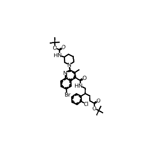 Cc1c(N2CCCC(NC(=O)OC(C)(C)C)C2)nc2ccc(Br)cc2c1C(=O)NCC(CCC(=O)OC(C)(C)C)c1ccccc1Cl